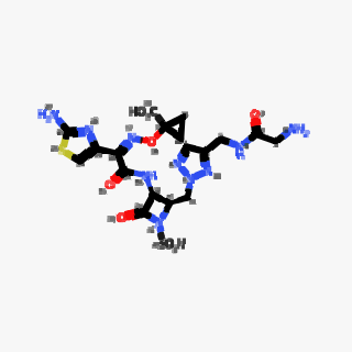 NCC(=O)NCc1cnn(C[C@@H]2[C@H](NC(=O)C(=NOC3(C(=O)O)CC3)c3csc(N)n3)C(=O)N2S(=O)(=O)O)n1